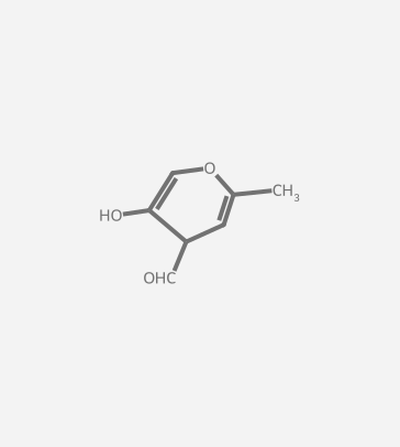 CC1=CC(C=O)C(O)=CO1